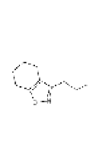 CCCc1noc2c1CCCC2